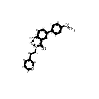 O=c1c2cc(-c3ccc(OC(F)(F)F)cc3)ccc2nnn1CCc1cccnc1